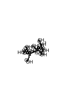 COCCNS(=O)(=O)c1cc(S(=O)(=O)O)cc2c3c(ccc12)[N+](CCOC)=C(/C=C/C=C/C=C1/N(CCCCCC(=O)O)c2ccc4c(S(=O)(=O)O)cc(S(=O)(=O)O)cc4c2C1(C)C)C3(C)CCCS(=O)(=O)O